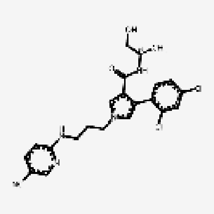 C[C@H](CO)NC(=O)c1cn(CCCNc2ccc(C#N)cn2)cc1-c1ccc(Cl)cc1Cl